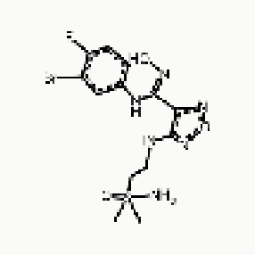 CS(C)(N)(=O)CCNc1nonc1/C(=N/O)Nc1ccc(F)c(Br)c1